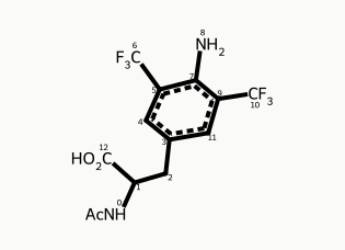 CC(=O)NC(Cc1cc(C(F)(F)F)c(N)c(C(F)(F)F)c1)C(=O)O